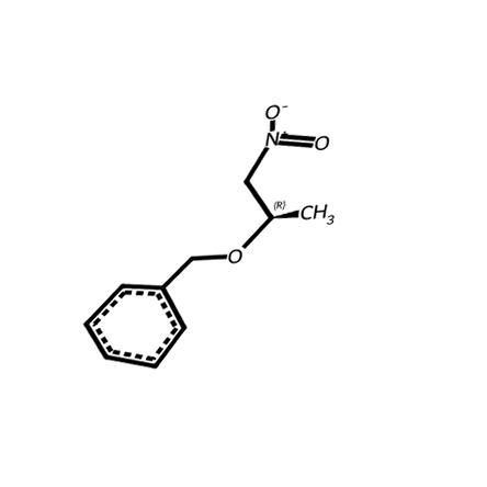 C[C@H](C[N+](=O)[O-])OCc1ccccc1